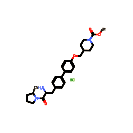 CC(C)OC(=O)N1CCC(COc2ccc(-c3ccc(C[C@H](N)C(=O)N4CCC[C@H]4C#N)cc3)cc2)CC1.Cl